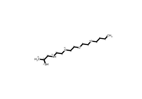 CCCCOCCOCCOCCNCC(C)S